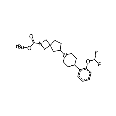 CC(C)(C)OC(=O)N1CC2(CCC(N3CCC(c4ccccc4OC(F)F)CC3)C2)C1